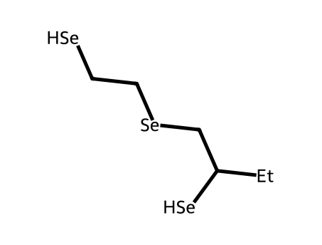 CCC([SeH])C[Se]CC[SeH]